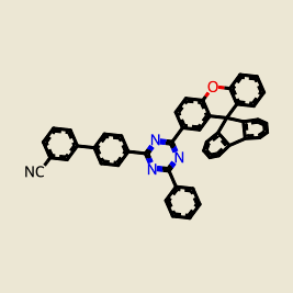 N#Cc1cccc(-c2ccc(-c3nc(-c4ccccc4)nc(-c4ccc5c(c4)C4(c6ccccc6O5)c5ccccc5-c5ccccc54)n3)cc2)c1